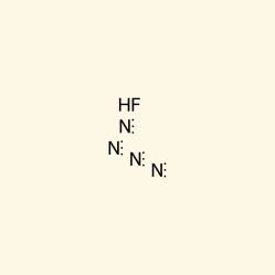 F.[N].[N].[N].[N]